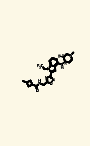 CC1CC(C(=O)NCc2nc(-c3cc4c(N[C@@H]5CCN(C)C[C@@H]5F)cccc4n3CC(F)(F)F)no2)C1